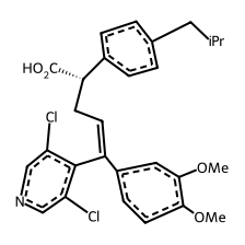 COc1ccc(C(=CC[C@H](C(=O)O)c2ccc(CC(C)C)cc2)c2c(Cl)cncc2Cl)cc1OC